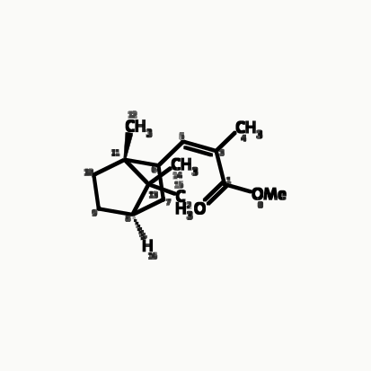 COC(=O)C(C)=CC1C[C@H]2CC[C@@]1(C)C2(C)C